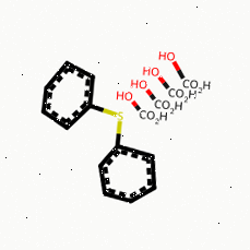 O=C(O)O.O=C(O)O.O=C(O)O.O=C(O)O.c1ccc(Sc2ccccc2)cc1